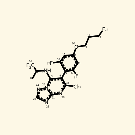 CC(Nc1c(-c2c(F)cc(OCCCF)cc2F)c(Cl)nc2ncnn12)C(F)(F)F